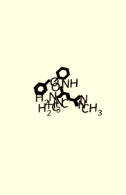 C=N/C(N)=C(\C=C(/C)c1cnn(C)c1)C(=O)NC1CCCC[C@@H]1OCc1ccccc1